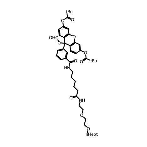 CCCCCCCOCCOCCNC(=O)CCCCCNC(=O)c1cccc(C2(OC=O)c3ccc(OC(=O)C(C)(C)C)cc3Oc3cc(OC(=O)C(C)(C)C)ccc32)c1